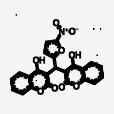 O=c1oc2ccccc2c(O)c1C(c1ccc([N+](=O)[O-])o1)c1c(O)c2ccccc2oc1=O